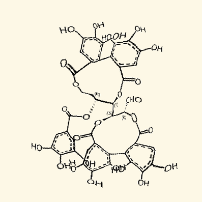 O=C[C@@H]1OC(=O)c2cc(O)c(O)c(O)c2-c2c(cc(O)c(O)c2O)C(=O)O[C@H]1[C@@H]1OC(=O)c2cc(O)c(O)c(O)c2-c2c(cc(O)c(O)c2O)C(=O)OC[C@H]1OC(=O)c1cc(O)c(O)c(O)c1